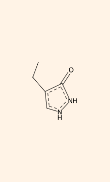 CCc1c[nH][nH]c1=O